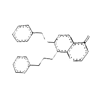 O=c1ccoc2c(CCCc3ccccc3)c(OCc3ccccc3)ccc12